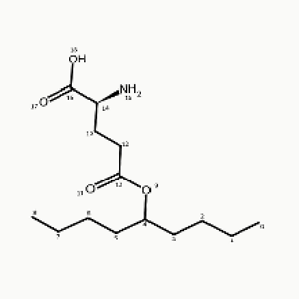 CCCCC(CCCC)OC(=O)CC[C@H](N)C(=O)O